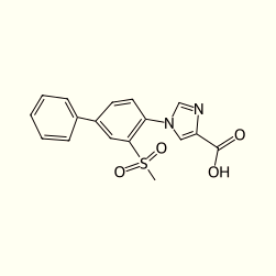 CS(=O)(=O)c1cc(-c2ccccc2)ccc1-n1cnc(C(=O)O)c1